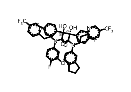 Cc1cc(N(CCc2ccc(C(F)(F)F)cn2)C(=O)[C@](O)(c2ccc(F)cc2)[C@](O)(C(=O)N(CCc2ccc(C(F)(F)F)cn2)c2ccc3c(c2)CCC3)c2ccc(F)cc2)ccc1F